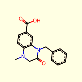 CN1CC(=O)N(Cc2ccccc2)c2cc(C(=O)O)ccc21